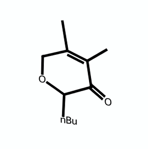 CCCCC1OCC(C)=C(C)C1=O